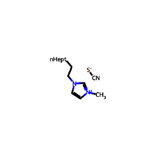 CCCCCCCCCn1cc[n+](C)c1.N#C[S-]